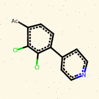 CC(=O)c1ccc(-c2ccncc2)c(Cl)c1Cl